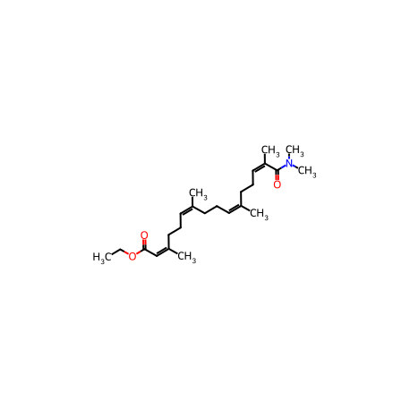 CCOC(=O)C=C(C)CCC=C(C)CCC=C(C)CCC=C(C)C(=O)N(C)C